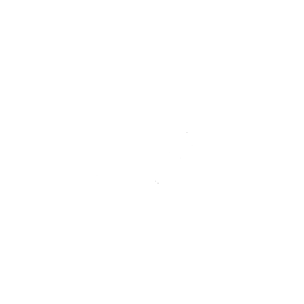 CCOC(=O)C(C)C1CCN(C(=O)c2ccccc2)CC1